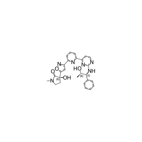 C[C@@H](O)[C@@H](Nc1nccc(-c2cccc(-c3cc([C@]4(O)CCN(C)C4=O)on3)n2)n1)c1ccccc1